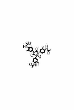 CC(=O)Nc1ccc(-n2c(=O)n(-c3ccc(NC(C)=O)c(C)c3)c(=O)n(-c3ccc(NC(C)=O)c(C)c3)c2=O)cc1C